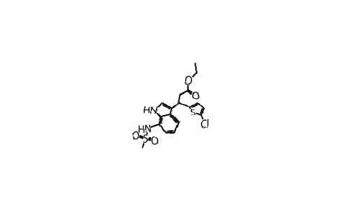 CCOC(=O)CC(c1ccc(Cl)s1)c1c[nH]c2c(NS(C)(=O)=O)cccc12